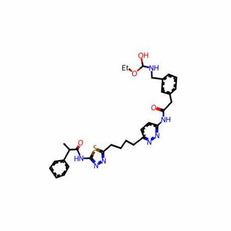 CCOC(O)NCc1cccc(CC(=O)Nc2ccc(CCCCc3nnc(NC(=O)C(C)c4ccccc4)s3)nn2)c1